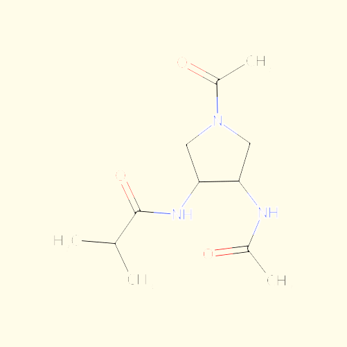 CC(=O)NC1CN(C(C)=O)CC1NC(=O)C(C)C